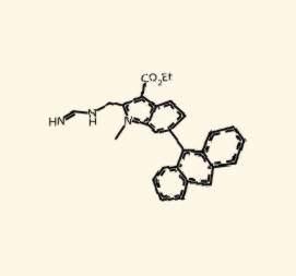 CCOC(=O)c1c(CNC=N)n(C)c2cc(-c3c4ccccc4cc4ccccc34)ccc12